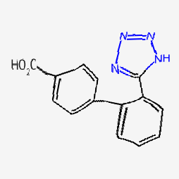 O=C(O)c1ccc(-c2ccccc2-c2nnn[nH]2)cc1